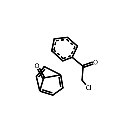 O=C(CCl)c1ccccc1.O=C1C2=CC=C1C=C2